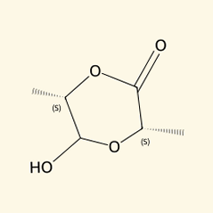 C[C@@H]1OC(O)[C@H](C)OC1=O